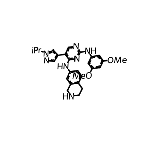 COc1cc(Nc2ncc(-c3cnn(C(C)C)c3)c(Nc3ccc4c(c3)CNCC4)n2)cc(OC)c1